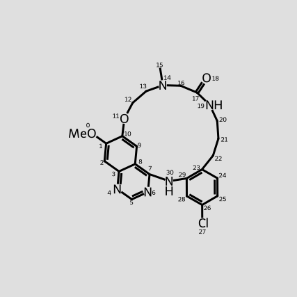 COc1cc2ncnc3c2cc1OCCN(C)CC(=O)NCCCc1ccc(Cl)cc1N3